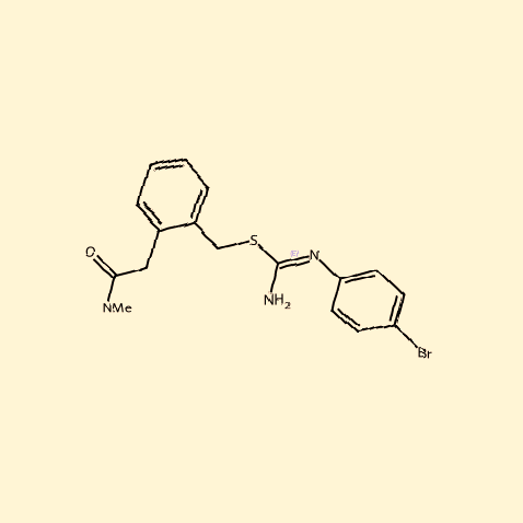 CNC(=O)Cc1ccccc1CS/C(N)=N/c1ccc(Br)cc1